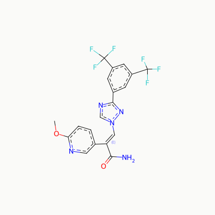 COc1ccc(/C(=C\n2cnc(-c3cc(C(F)(F)F)cc(C(F)(F)F)c3)n2)C(N)=O)cn1